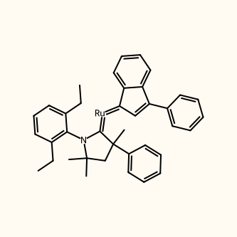 CCc1cccc(CC)c1N1[C](=[Ru]=[C]2C=C(c3ccccc3)c3ccccc32)C(C)(c2ccccc2)CC1(C)C